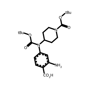 CC(C)(C)OC(=O)N1CCC(N(C(=O)OC(C)(C)C)c2ccc(C(=O)O)c(N)c2)CC1